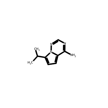 CC(C)c1ccc2c(N)ncnn12